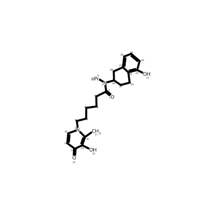 CCCN(C(=O)CCCCCn1ccc(=O)c(O)c1C)C1CCc2c(O)cccc2C1